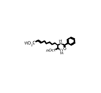 CCCCCCCCC(O)C(CCCCCCCC(=O)O)NC(=O)c1ccccc1